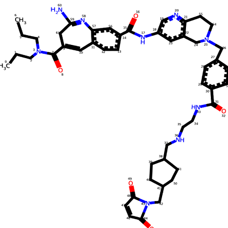 CCCN(CCC)C(=O)C1=Cc2ccc(C(=O)Nc3cnc4c(c3)CN(Cc3ccc(C(=O)NCCNCC5CCC(CN6C(=O)C=CC6=O)CC5)cc3)CC4)cc2N=C(N)C1